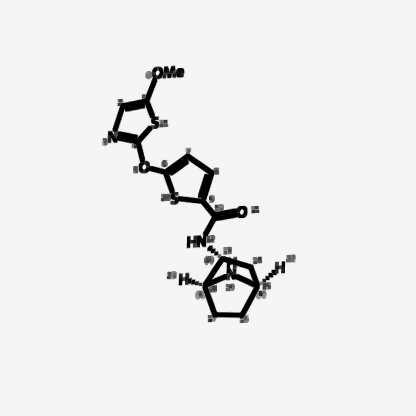 COc1cnc(Oc2ccc(C(=O)N[C@@H]3C[C@H]4CC[C@@H]3N4)s2)s1